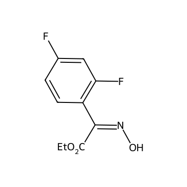 CCOC(=O)C(=NO)c1ccc(F)cc1F